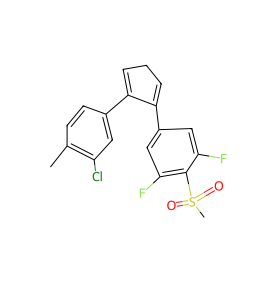 Cc1ccc(C2=CCC=C2c2cc(F)c(S(C)(=O)=O)c(F)c2)cc1Cl